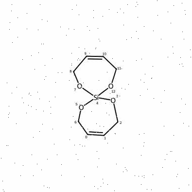 C1=CCO[Si]2(OC1)OCC=CCO2